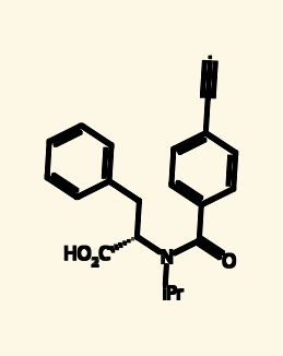 [C]#Cc1ccc(C(=O)N(C(C)C)[C@@H](Cc2ccccc2)C(=O)O)cc1